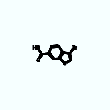 O=C(O)c1ccc2c(Br)csc2c1